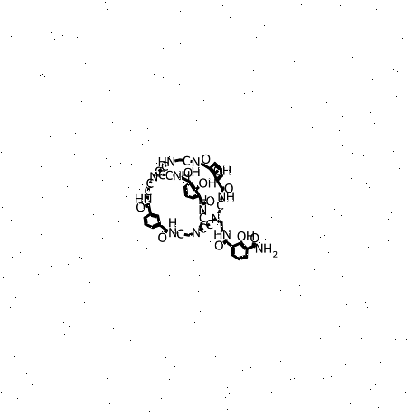 NC(=O)c1cccc(C(=O)NCCN2CCNC(=O)c3cccc(c3O)C(=O)NCCNCCN3CCNC(=O)c4cccc(c4)C(=O)NCCN(CCNC(=O)c4cccc(c4O)C(=O)NCC3)CC2)c1O